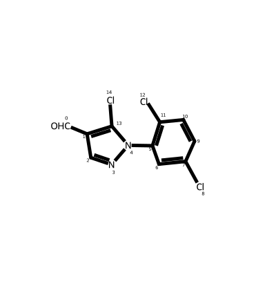 O=Cc1cnn(-c2cc(Cl)ccc2Cl)c1Cl